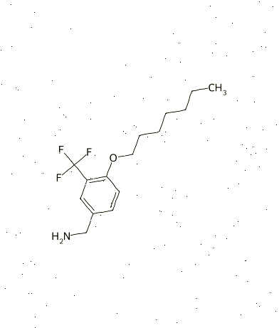 CCCCCCCOc1ccc(CN)cc1C(F)(F)F